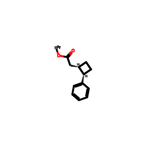 CCCOC(=O)C[C@@H]1CC[C@@H]1c1ccccc1